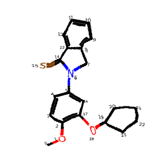 COc1ccc(N2Cc3ccccc3C2=S)cc1OC1CCCC1